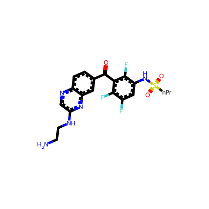 CCCS(=O)(=O)Nc1cc(F)c(F)c(C(=O)c2ccc3ncc(NCCN)nc3c2)c1F